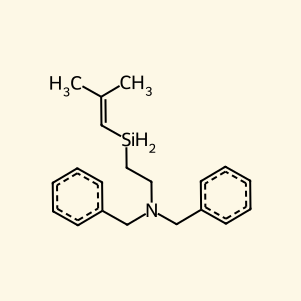 CC(C)=C[SiH2]CCN(Cc1ccccc1)Cc1ccccc1